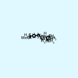 CON=C(C)c1ccc(-c2ccc(-c3ccnc(NC4CC(C)(C)NC(C)(C)C4)n3)s2)cc1